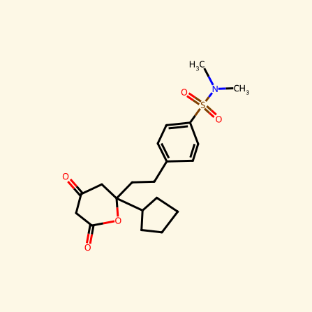 CN(C)S(=O)(=O)c1ccc(CCC2(C3CCCC3)CC(=O)CC(=O)O2)cc1